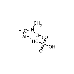 CN(C)C.O=S(=O)(O)O.[AlH3]